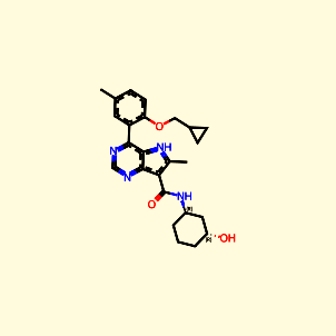 Cc1ccc(OCC2CC2)c(-c2ncnc3c(C(=O)N[C@@H]4CCC[C@@H](O)C4)c(C)[nH]c23)c1